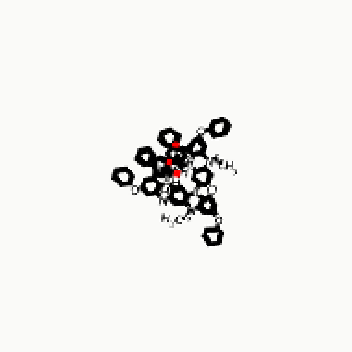 CSN1c2cc3c(cc2B2c4cc5c(cc4Oc4cc(Oc6ccccc6)cc1c42)N(SC)c1cc(Oc2ccccc2)cc2c1B5c1[nH]c4ccccc4c1N2c1ccccc1)B1c2[nH]c4ccccc4c2N(c2ccccc2)c2cc(Oc4ccccc4)cc(c21)N3